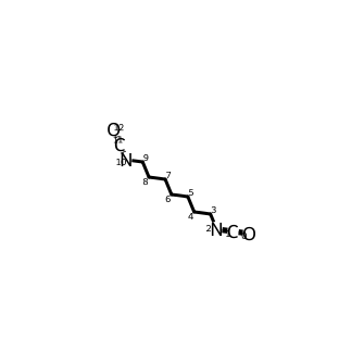 O=C=NCCCCCCCN=C=O